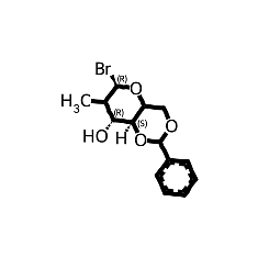 CC1[C@@H](O)[C@@H]2OC(c3ccccc3)OCC2O[C@@H]1Br